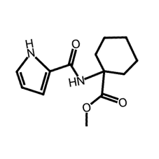 COC(=O)C1(NC(=O)c2ccc[nH]2)CCCCC1